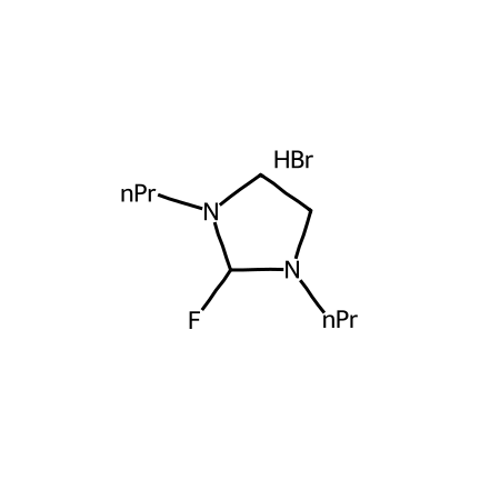 Br.CCCN1CCN(CCC)C1F